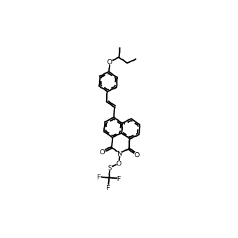 CCC(C)Oc1ccc(/C=C/c2ccc3c4c(cccc24)C(=O)N(OSC(F)(F)F)C3=O)cc1